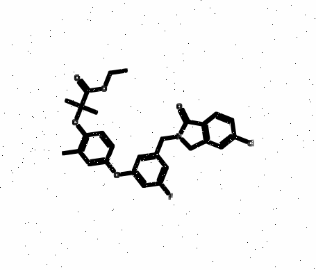 CCOC(=O)C(C)(C)Oc1ccc(Oc2cc(F)cc(CN3Cc4cc(Cl)ccc4C3=O)c2)cc1C